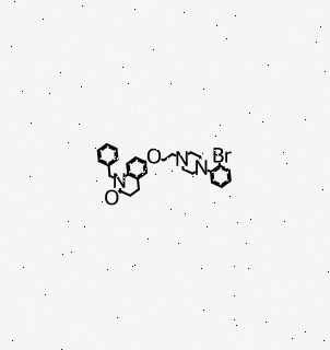 O=C1CCc2cc(OCCN3CCN(c4ccccc4Br)CC3)ccc2N1Cc1ccccc1